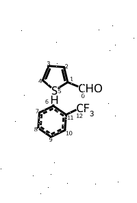 O=CC1=CC=C[SH]1c1ccccc1C(F)(F)F